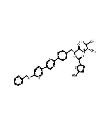 C[C@@H](NC(=O)[C@H](Cc1ccc(-c2ncc(-c3ccc(OCc4ccccc4)nc3)cn2)cc1)NC(=O)c1ccc(C(C)(C)C)s1)C(O)O